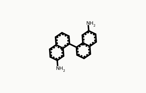 Nc1ccc2cccc(-c3cccc4ccc(N)cc34)c2c1